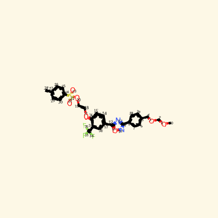 COCOCc1ccc(-c2noc(-c3ccc(OCCOS(=O)(=O)c4ccc(C)cc4)c(C(F)(F)F)c3)n2)cc1